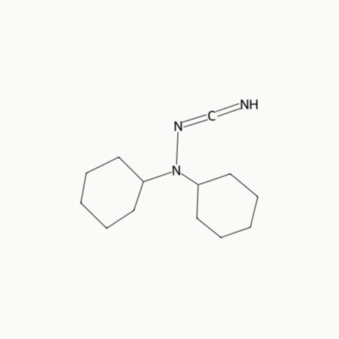 N=C=NN(C1CCCCC1)C1CCCCC1